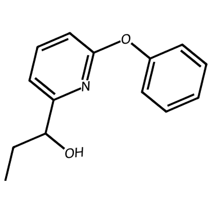 CCC(O)c1cccc(Oc2ccccc2)n1